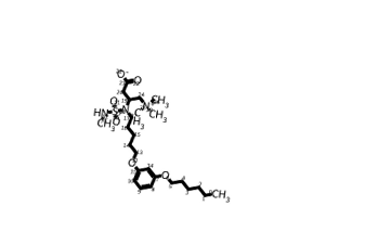 CCCCCCOc1cccc(OCCCCCN(C(CC(=O)[O-])C[N+](C)(C)C)S(=O)(=O)NC)c1